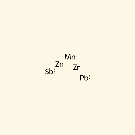 [Mn].[Pb].[Sb].[Zn].[Zr]